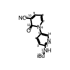 CCC(C)Nc1ccc(-n2cccc(C#N)c2=O)cn1